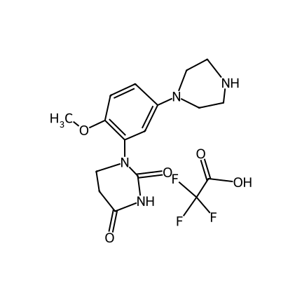 COc1ccc(N2CCNCC2)cc1N1CCC(=O)NC1=O.O=C(O)C(F)(F)F